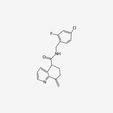 C=C1CCC(C(=O)NCc2ccc(Cl)cc2F)c2cccnc21